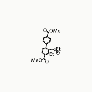 CCP(=O)(CC)Cc1cc(C(=O)OC)ccc1-c1ccc(C(=O)OC)cc1